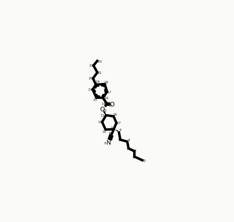 CCCCCCC[C@]1(C#N)CC[C@@H](OC(=O)c2ccc(CCCC)cc2)CC1